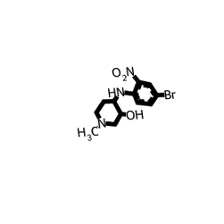 CN1CCC(Nc2ccc(Br)cc2[N+](=O)[O-])C(O)C1